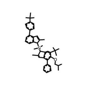 CC1=Cc2c(-c3ccc(C(C)(C)C)cc3)cccc2C1[Si](C)(C)C1C(C)=Cc2c1cc(C(C)(C)C)c(OCC(C)C)c2-c1ccccc1